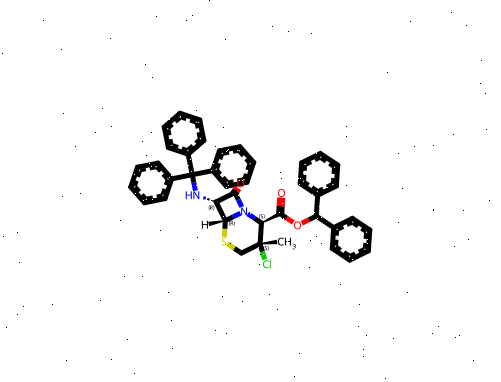 C[C@@]1(Cl)CS[C@@H]2[C@H](NC(c3ccccc3)(c3ccccc3)c3ccccc3)C(=O)N2[C@H]1C(=O)OC(c1ccccc1)c1ccccc1